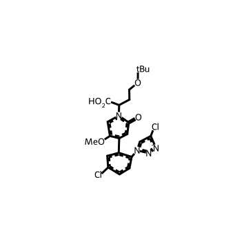 COc1cn(C(CCOC(C)(C)C)C(=O)O)c(=O)cc1-c1cc(Cl)ccc1-n1cc(Cl)nn1